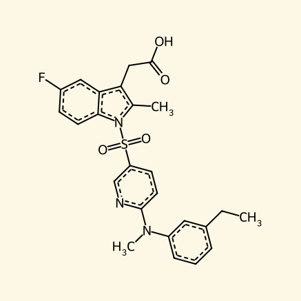 CCc1cccc(N(C)c2ccc(S(=O)(=O)n3c(C)c(CC(=O)O)c4cc(F)ccc43)cn2)c1